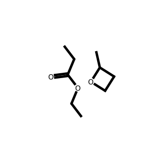 CC1CCO1.CCOC(=O)CC